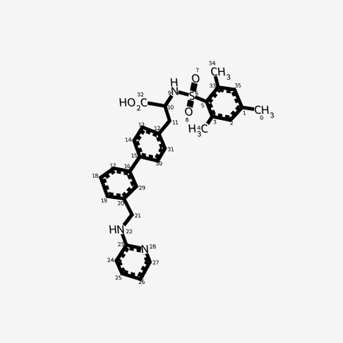 Cc1cc(C)c(S(=O)(=O)NC(Cc2ccc(-c3cccc(CNc4ccccn4)c3)cc2)C(=O)O)c(C)c1